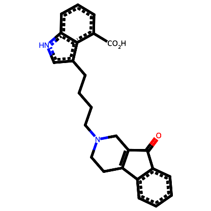 O=C1C2=C(CCN(CCCCc3c[nH]c4cccc(C(=O)O)c34)C2)c2ccccc21